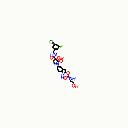 O=C(NCCO)Oc1cc2cc(N3CC[C@](O)(C(=O)NCc4cc(F)cc(Cl)c4)C3=O)ccc2[nH]1